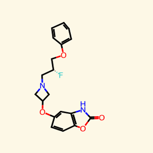 O=c1[nH]c2cc(OC3CN(C[C@@H](F)COc4ccccc4)C3)ccc2o1